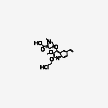 C=Cc1ccc2nc(OCC)c(OC)c(O[C@@H]3C[C@@H](C(=O)O)N(C)C3)c2c1.Cl